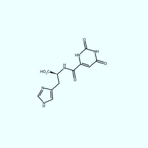 O=C(N[C@@H](Cc1c[nH]cn1)C(=O)O)c1cc(=O)[nH]c(=O)[nH]1